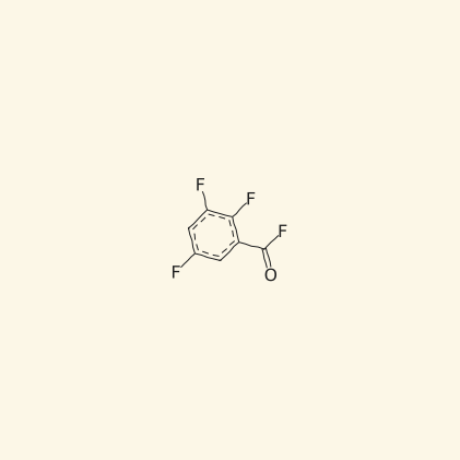 O=C(F)c1cc(F)cc(F)c1F